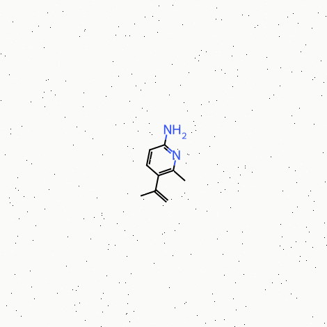 C=C(C)c1ccc(N)nc1C